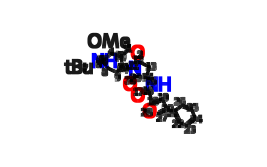 COC(=O)[C@@H]1C[C@H](NC(C)(C)C)CC[C@@H]1N1CCC(NC(=O)c2cc(-c3ccccc3)co2)C1=O